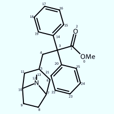 COC(=O)C(CC1CC2CCC(C1)N2C)(c1ccccc1)c1ccccc1